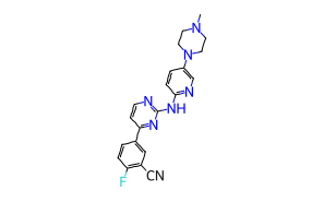 CN1CCN(c2ccc(Nc3nccc(-c4ccc(F)c(C#N)c4)n3)nc2)CC1